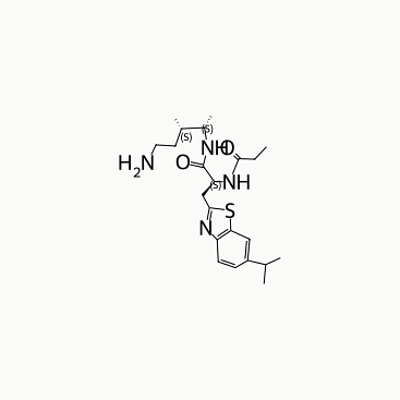 CCC(=O)N[C@@H](Cc1nc2ccc(C(C)C)cc2s1)C(=O)N[C@@H](C)[C@@H](C)CCN